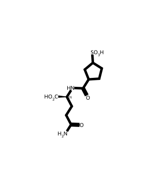 NC(=O)CC[C@H](NC(=O)C1CCC(S(=O)(=O)O)C1)C(=O)O